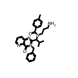 Cc1ccc(C(=O)N(CCCN)C(c2nc3cccnc3c(=O)n2Cc2ccccc2)C(C)C)cc1